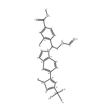 COC(=O)c1ccc(C(COC=O)n2ccc3cc(-c4cc(C(F)(F)F)nn4C)ccc32)c(C)c1